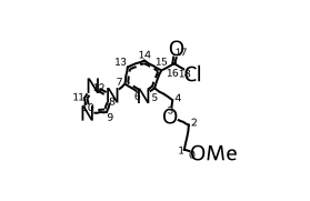 COCCOCc1nc(-n2cncn2)ccc1C(=O)Cl